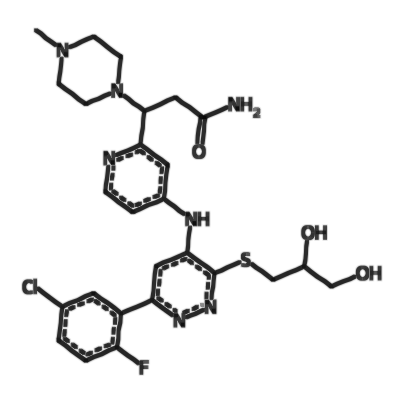 CN1CCN(C(CC(N)=O)c2cc(Nc3cc(-c4cc(Cl)ccc4F)nnc3SCC(O)CO)ccn2)CC1